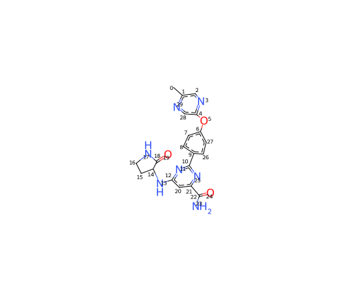 Cc1cnc(Oc2ccc(-c3nc(NC4CCNC4=O)cc(C(N)=O)n3)cc2)cn1